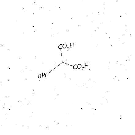 C[CH]CC(C(=O)O)C(=O)O